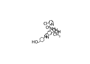 CC(C)(O)c1cc2nn(C3CCC(CO)CC3)cc2cc1NC(=O)c1ncccc1Cl